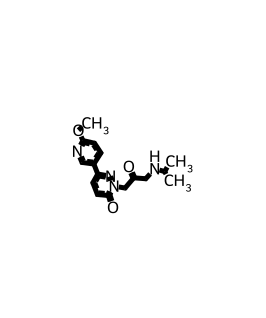 COc1ccc(-c2ccc(=O)n(CC(=O)CNC(C)C)n2)cn1